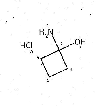 Cl.NC1(O)CCC1